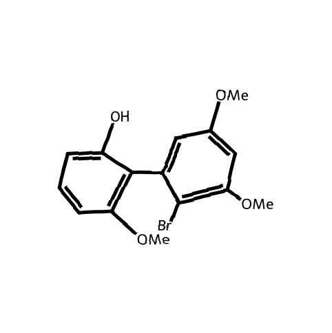 COc1cc(OC)c(Br)c(-c2c(O)cccc2OC)c1